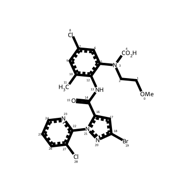 COCCN(C(=O)O)c1cc(Cl)cc(C)c1NC(=O)c1cc(Br)nn1-c1ncccc1Cl